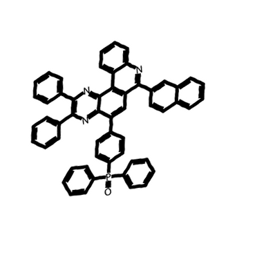 O=P(c1ccccc1)(c1ccccc1)c1ccc(-c2cc3c(-c4ccc5ccccc5c4)nc4ccccc4c3c3nc(-c4ccccc4)c(-c4ccccc4)nc23)cc1